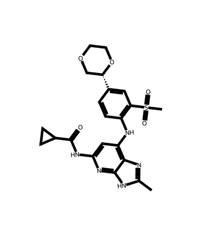 Cc1nc2c(Nc3ccc([C@@H]4COCCO4)cc3S(C)(=O)=O)cc(NC(=O)C3CC3)nc2[nH]1